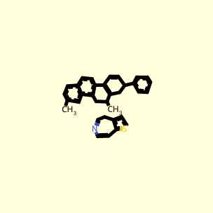 C1=Cc2sccc2CC=N1.Cc1ccc2ccc3c(c2c1)CC(C)C1=C3C=CC(c2ccccc2)C1